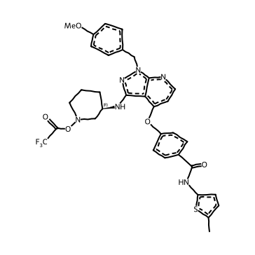 COc1ccc(Cn2nc(N[C@@H]3CCCN(OC(=O)C(F)(F)F)C3)c3c(Oc4ccc(C(=O)Nc5ccc(C)s5)cc4)ccnc32)cc1